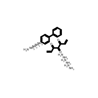 C=CC(=O)C(=O)C(=O)C=C.N.N.N.N.N.N.N.N.N.N.N.c1ccc(-c2ccccc2)cc1